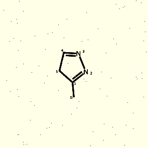 CC1=NN=CC1